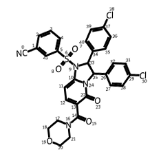 N#Cc1cccc(S(=O)(=O)N2c3ccc(C(=O)N4CCOCC4)c(=O)n3C(c3ccc(Cl)cc3)C2c2ccc(Cl)cc2)c1